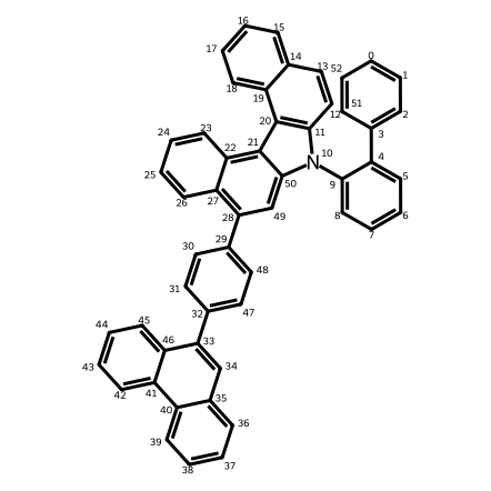 c1ccc(-c2ccccc2-n2c3ccc4ccccc4c3c3c4ccccc4c(-c4ccc(-c5cc6ccccc6c6ccccc56)cc4)cc32)cc1